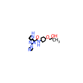 C[C@H](O)COC1CCC(NC(=O)c2nc(-n3ccnc3)nc3cc[nH]c23)CC1